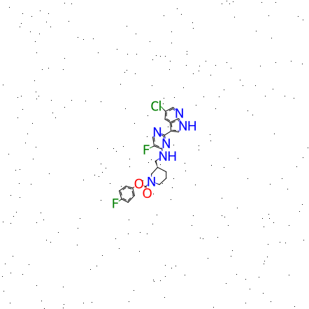 O=C(Oc1ccc(F)cc1)N1CCC[C@H](CNc2nc(-c3c[nH]c4ncc(Cl)cc34)ncc2F)C1